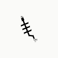 CC(C)(C#N)C(C)(C)C(C)(C)CCO